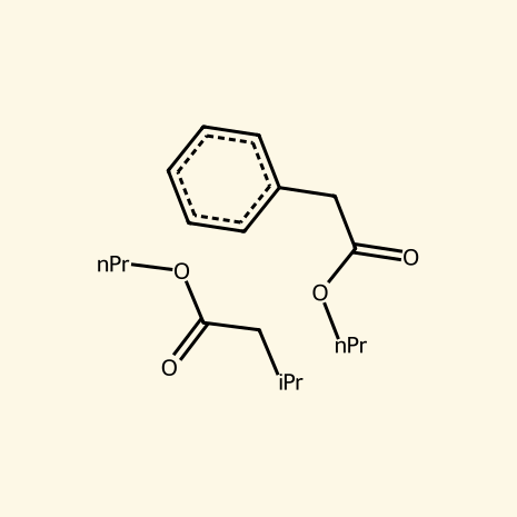 CCCOC(=O)CC(C)C.CCCOC(=O)Cc1ccccc1